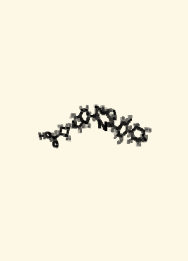 Cc1cc(-c2nc(-c3ccc4c(c3)CN([C@H]3C[C@H](C(=O)O)C3)C4)no2)cc(C)c1-c1ccncc1